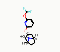 O=C(O)N1[C@@H]2CC[C@H]1C[C@@H](Oc1cccc(OC(F)F)n1)C2